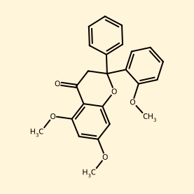 COc1cc(OC)c2c(c1)OC(c1ccccc1)(c1ccccc1OC)CC2=O